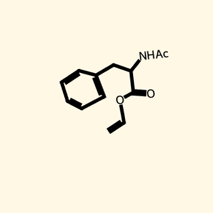 C=COC(=O)C(Cc1ccccc1)NC(C)=O